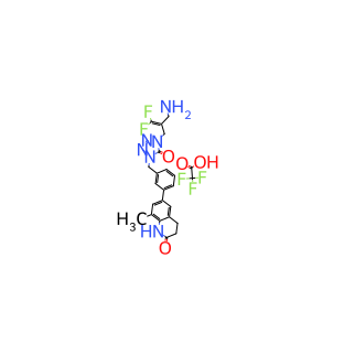 Cc1cc(-c2cccc(Cn3nnn(CC(CN)=C(F)F)c3=O)c2)cc2c1NC(=O)CC2.O=C(O)C(F)(F)F